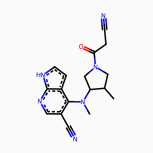 CC1CN(C(=O)CC#N)CC1N(C)c1c(C#N)cnc2[nH]ccc12